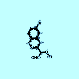 CCOC(C=O)c1nnc2ccc(Br)cc2n1